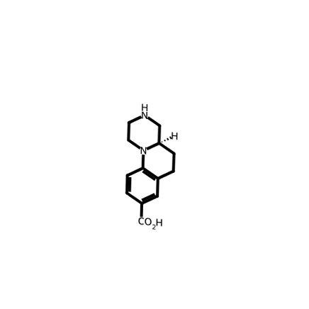 O=C(O)c1ccc2c(c1)CC[C@@H]1CNCCN21